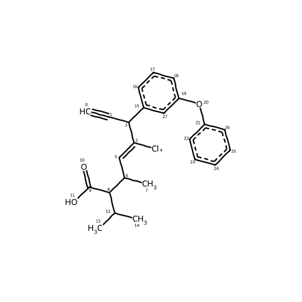 C#CC(C(Cl)=CC(C)C(C(=O)O)C(C)C)c1cccc(Oc2ccccc2)c1